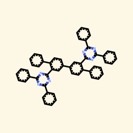 c1ccc(-c2nc(-c3ccccc3)nc(-c3cc(-c4ccc(-c5ccccc5)c(-c5nc(-c6ccccc6)nc(-c6ccccc6)n5)c4)ccc3-c3ccccc3)n2)cc1